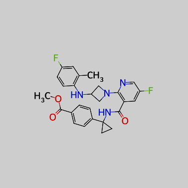 COC(=O)c1ccc(C2(NC(=O)c3cc(F)cnc3N3CC(Nc4ccc(F)cc4C)C3)CC2)cc1